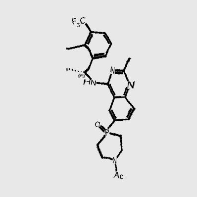 CC(=O)N1CCP(=O)(c2ccc3nc(C)nc(N[C@H](C)c4cccc(C(F)(F)F)c4C)c3c2)CC1